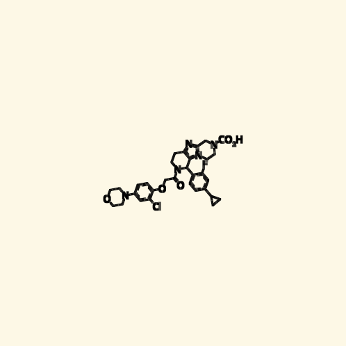 O=C(O)N1CCn2c(nc3c2C(c2ccc(C4CC4)cc2F)N(C(=O)COc2ccc(N4CCOCC4)cc2Cl)CC3)C1